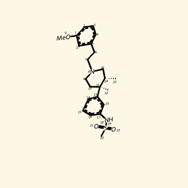 COc1cccc(CCN2CC[C@](C)(c3cccc(NS(C)(=O)=O)c3)[C@@H](C)C2)c1